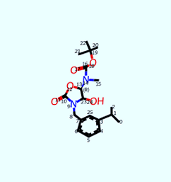 CC(C)c1cccc(CN2C(=O)O[C@@H](N(C)C(=O)OC(C)(C)C)C2O)c1